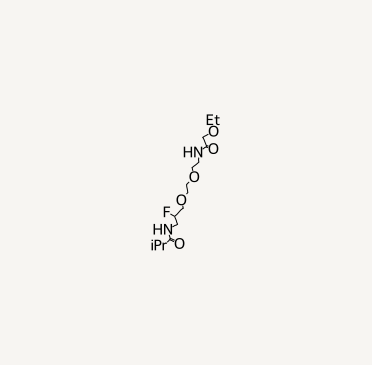 CCOCC(=O)NCCOCCOCC(F)CNC(=O)C(C)C